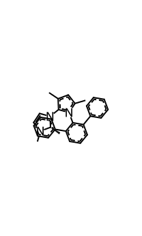 Cc1cc(C)n(-c2c(-c3ccccc3)cccc2-c2ccccc2)c1N1C=CN(C)[C@@H]1C